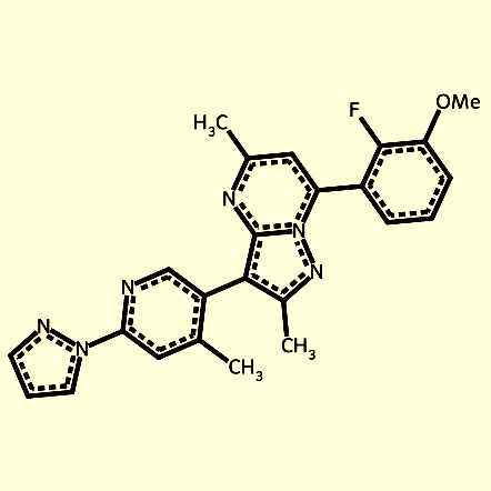 COc1cccc(-c2cc(C)nc3c(-c4cnc(-n5cccn5)cc4C)c(C)nn23)c1F